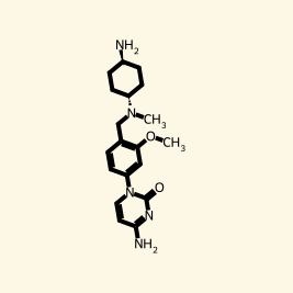 COc1cc(-n2ccc(N)nc2=O)ccc1CN(C)[C@H]1CC[C@H](N)CC1